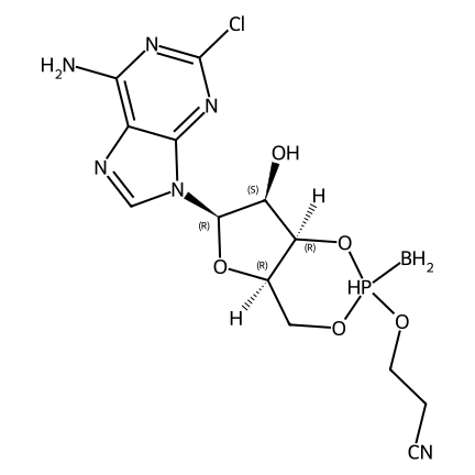 B[PH]1(OCCC#N)OC[C@H]2O[C@@H](n3cnc4c(N)nc(Cl)nc43)[C@@H](O)[C@H]2O1